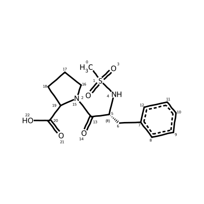 CS(=O)(=O)N[C@H](Cc1ccccc1)C(=O)N1CCCC1C(=O)O